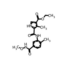 CCOC(=O)c1c[nH]c(C(=O)Nc2cc(C(=O)NOC)ccc2C)c1C